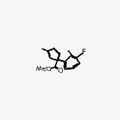 COC(=O)C1(c2cccc(F)c2C)C=C(C)CC1